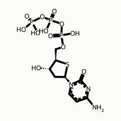 Nc1ccn([C@H]2C[C@H](O)[C@@H](COP(=O)(O)OP(=O)(O)OP(=O)(O)O)S2)c(=O)n1